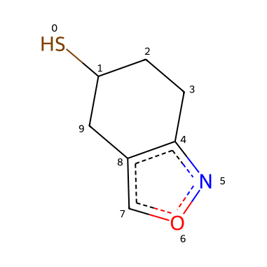 SC1CCc2nocc2C1